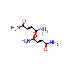 NC(=O)C=CC(N)=O.NC(=O)C=CC(N)=O.[C]